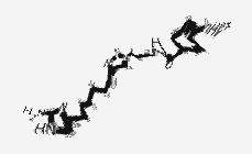 CCCCCCc1ccc(C(=O)NCCn2cc(CCCCCc3c[nH]c(N)n3)nn2)cc1